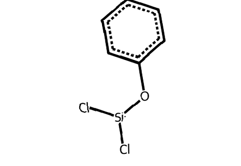 Cl[Si](Cl)Oc1ccccc1